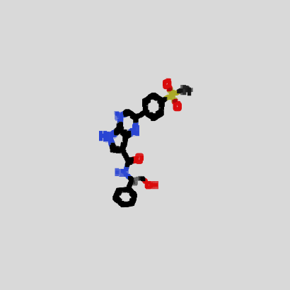 CC(C)S(=O)(=O)c1ccc(-c2cnc3[nH]cc(C(=O)N[C@H](CO)c4ccccc4)c3n2)cc1